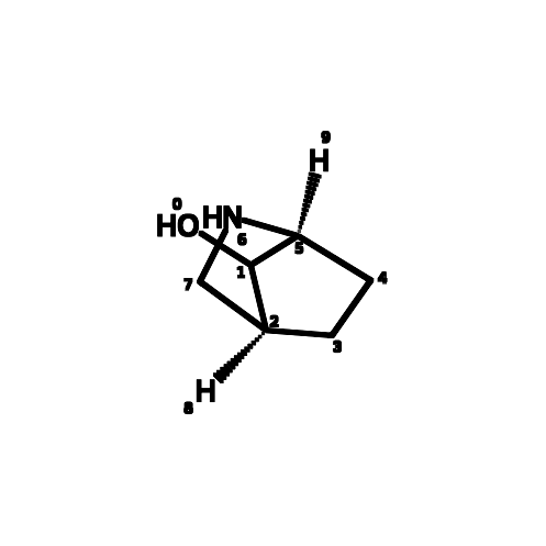 OC1[C@H]2CC[C@@H]1NC2